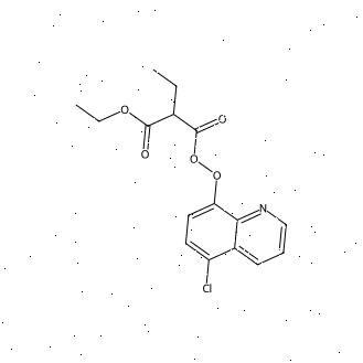 CCOC(=O)C(CC)C(=O)OOc1ccc(Cl)c2cccnc12